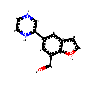 O=Cc1cc(-c2cnccn2)cc2ccoc12